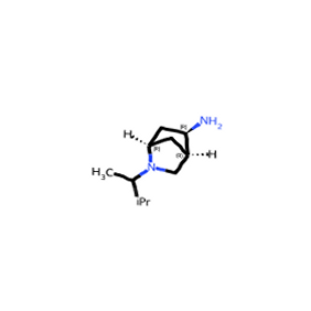 CC(C)C(C)N1C[C@H]2C[C@@H]1C[C@H]2N